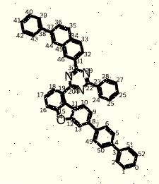 c1ccc(-c2ccc(-c3ccc4c(c3)oc3cccc(-c5nc(-c6ccccc6)nc(-c6ccc7ccc(-c8ccccc8)cc7c6)n5)c34)cc2)cc1